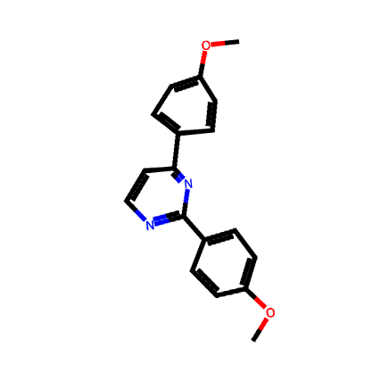 COc1ccc(-c2ccnc(-c3ccc(OC)cc3)n2)cc1